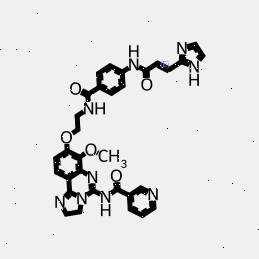 COc1c(OCCNC(=O)c2ccc(NC(=O)/C=C/c3ncc[nH]3)cc2)ccc2c1N=C(NC(=O)c1cccnc1)N1CCN=C21